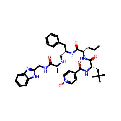 CCC[C@H](NC(=O)[C@H](CC(C)(C)C)NC(=O)c1cc[n+]([O-])cc1)C(=O)N[C@H](CN[C@@H](C)C(=O)NCc1nc2ccccc2[nH]1)Cc1ccccc1